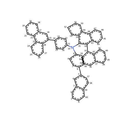 c1ccc2cc(-c3ccc(N(c4ccc(-c5cc6ccccc6c6ccccc56)cc4)c4c(-c5cccc6ccccc56)c5ccccc5c5ccccc45)cc3)ccc2c1